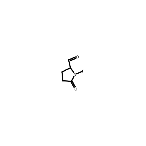 O=CC1CCC(=O)N1F